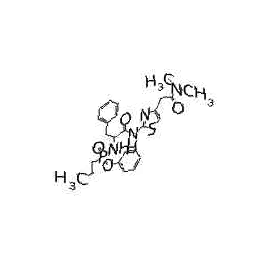 CCCP(=O)(NC(Cc1ccccc1)C(=O)Nc1nc(CC(=O)N(C)C)cs1)Oc1ccccc1